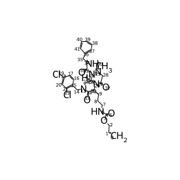 C=CCOC(=O)NCCC[C@H]1C(=O)N(Cc2ccc(Cl)cc2Cl)C[C@H]2N1C(=O)CN(C)N2C(=O)NCc1ccccc1